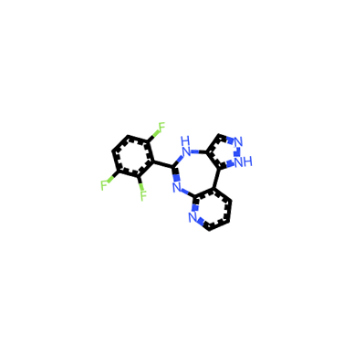 Fc1ccc(F)c(C2=Nc3ncccc3-c3[nH]ncc3N2)c1F